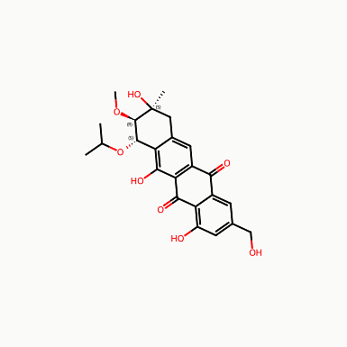 CO[C@@H]1[C@@H](OC(C)C)c2c(cc3c(c2O)C(=O)c2c(O)cc(CO)cc2C3=O)C[C@]1(C)O